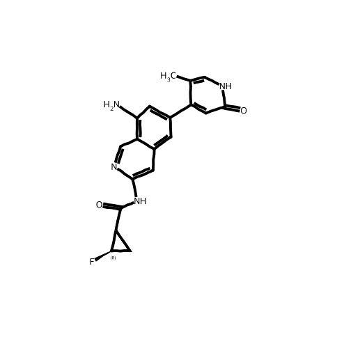 Cc1c[nH]c(=O)cc1-c1cc(N)c2cnc(NC(=O)C3C[C@H]3F)cc2c1